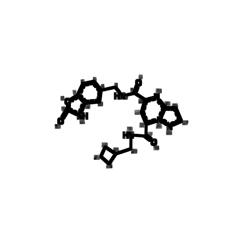 O=C(NCc1ccc2oc(=O)[nH]c2c1)c1cc(C(=O)NCC2CCC2)n2nccc2n1